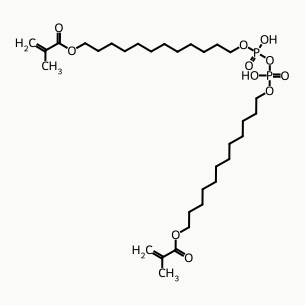 C=C(C)C(=O)OCCCCCCCCCCCCOP(=O)(O)OP(=O)(O)OCCCCCCCCCCCCOC(=O)C(=C)C